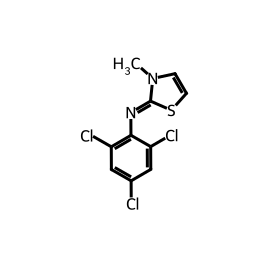 Cn1ccsc1=Nc1c(Cl)cc(Cl)cc1Cl